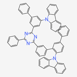 c1ccc(-c2cc(-c3nc(-c4ccccc4)nc(-c4cccc(-c5cc(-c6ccccc6)ccc5-n5c6ccccc6c6ccccc65)c4)n3)cc(-n3c4ccccc4c4ccccc43)c2)cc1